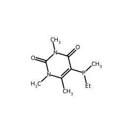 CCP(C)c1c(C)n(C)c(=O)n(C)c1=O